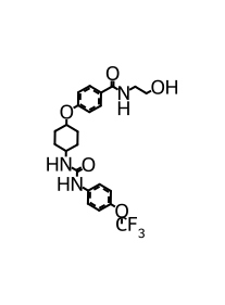 O=C(Nc1ccc(OC(F)(F)F)cc1)NC1CCC(Oc2ccc(C(=O)NCCO)cc2)CC1